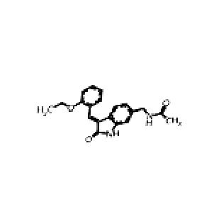 CCOc1ccccc1/C=C1/C(=O)Nc2cc(CNC(C)=O)ccc21